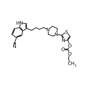 CCOC(=O)Oc1csc(N2CCN(CCCCc3c[nH]c4ccc(C#N)cc34)CC2)n1